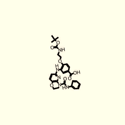 CC(C)(C)OC(=O)NCCOc1ccc(C(=O)O)cc1Nc1ccc2c(n1)N(C(=O)Nc1ccccc1)CCO2